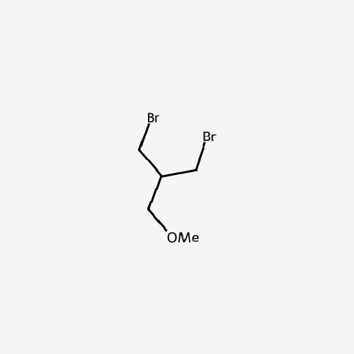 COCC(CBr)CBr